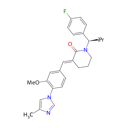 COc1cc(/C=C2\CCCN([C@@H](c3ccc(F)cc3)C(C)C)C2=O)ccc1-n1cnc(C)c1